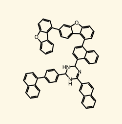 c1ccc2cc(C3=NC(c4ccc(-c5cccc6oc7cc(-c8cccc9oc%10ccccc%10c89)ccc7c56)c5ccccc45)NC(c4ccc(-c5cccc6ccccc56)cc4)N3)ccc2c1